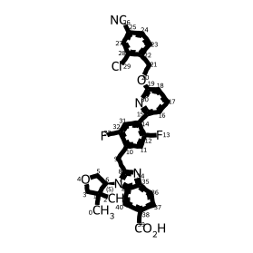 CC1(C)COC[C@H]1n1c(Cc2cc(F)c(-c3cccc(OCc4ccc(C#N)cc4Cl)n3)cc2F)nc2ccc(C(=O)O)cc21